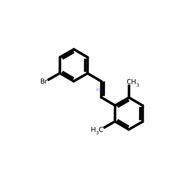 Cc1cccc(C)c1/C=C/c1cccc(Br)c1